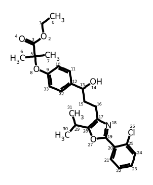 CCOC(=O)C(C)(C)Oc1ccc(C(O)CCc2nc(-c3ccccc3Cl)oc2C(C)C)cc1